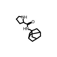 O=C(NC12CC3CC(CC(C3)C1)C2)C1CCCN1